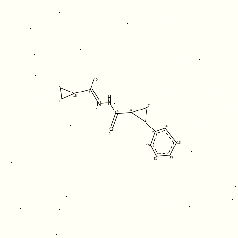 C/C(=N\NC(=O)C1CC1c1ccccc1)C1CC1